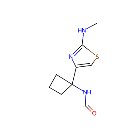 CNc1nc(C2(N[C]=O)CCC2)cs1